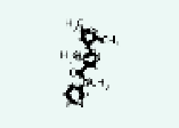 Cc1cc(-c2ncc(C(=O)N(C)c3cccnc3)n2C)c(C)s1